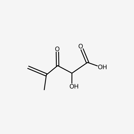 C=C(C)C(=O)C(O)C(=O)O